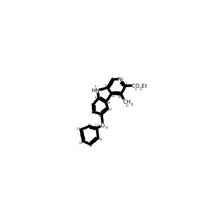 CCOC(=O)c1ncc2[nH]c3ccc(Oc4ccccc4)cc3c2c1C